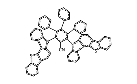 N#Cc1c(-n2c3ccccc3c3c4sc5ccccc5c4ccc32)c(-c2ccccc2)c(-c2ccccc2)c(-c2ccccc2)c1-n1c2ccccc2c2c3sc4ccccc4c3ccc21